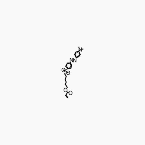 C=CC(=O)OCCCCCCS(=O)(=O)c1ccc(N=Nc2ccc(N(C)C)cc2)cc1